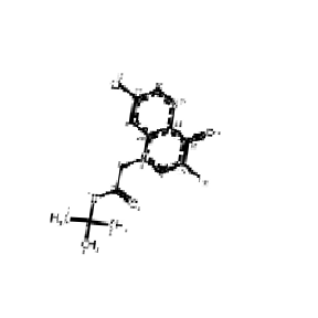 CC(C)(C)OC(=O)Cn1cc(I)c(=O)c2ncc(Cl)cc21